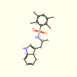 Cc1cc(C)c(C)c(S(=O)(=O)NC(C)CC2=CNC3=CC=CCC23)c1C